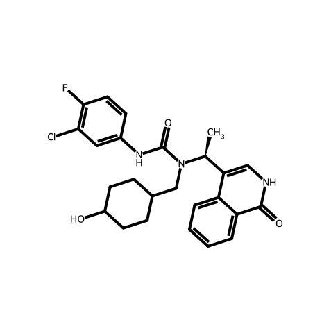 C[C@@H](c1c[nH]c(=O)c2ccccc12)N(CC1CCC(O)CC1)C(=O)Nc1ccc(F)c(Cl)c1